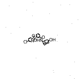 O=C(NC1C2CC3CC1CC(O)(C3)C2)c1cccc(S(=O)(=O)c2ccc(Cl)cn2)c1